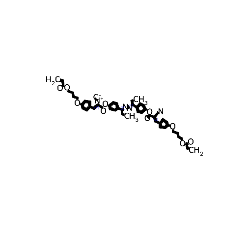 [C-]#[N+]/C(=C\c1ccc(OCCCCOC(=O)C=C)cc1)C(=O)Oc1ccc(/C(CC)=N/N=C(\CC)c2ccc(OC(=O)/C(C#N)=C/c3ccc(OCCCCOC(=O)C=C)cc3)cc2)cc1